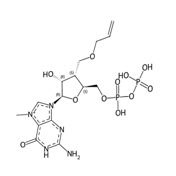 C=CCOC[C@H]1[C@@H](O)[C@H](n2c[n+](C)c3c(=O)[nH]c(N)nc32)O[C@@H]1COP(=O)(O)OP(=O)(O)O